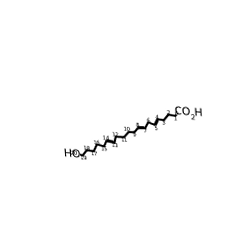 O=C(O)CCCC=CCC=CCCCCC=CCCCCCO